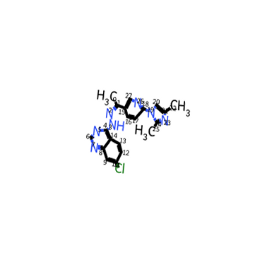 CC(=NNc1ncnc2cc(Cl)ccc12)c1ccc(-n2cc(C)nc2C)nc1